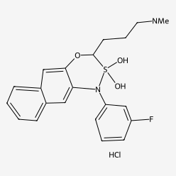 CNCCCC1Oc2cc3ccccc3cc2N(c2cccc(F)c2)S1(O)O.Cl